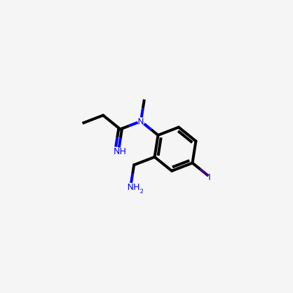 CCC(=N)N(C)c1ccc(I)cc1CN